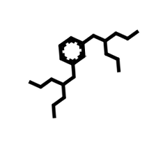 CCCC(CCC)Cc1[c]c(CC(CCC)CCC)ccc1